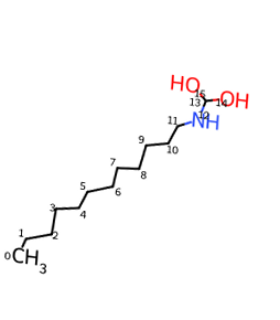 CCCCCCCCCCCCNC(O)O